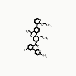 CCOc1ncccc1-c1ccc(N2CCN(C(=O)c3ccc(F)cc3-c3ccc(N)nc3)C[C@H]2CC)c(C(N)=O)c1